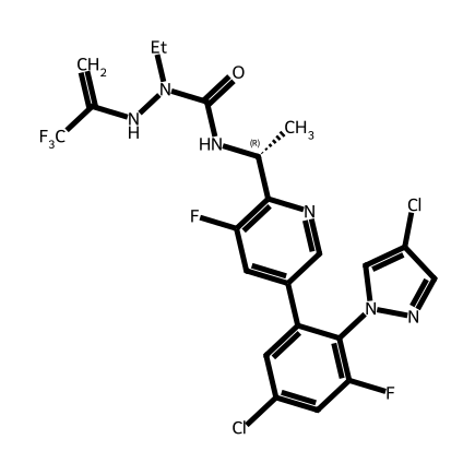 C=C(NN(CC)C(=O)N[C@H](C)c1ncc(-c2cc(Cl)cc(F)c2-n2cc(Cl)cn2)cc1F)C(F)(F)F